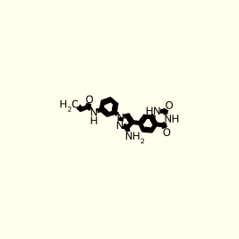 C=CC(=O)Nc1cccc(-n2cc(-c3ccc4c(=O)[nH]c(=O)[nH]c4c3)c(N)n2)c1